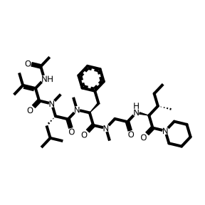 CC[C@H](C)[C@H](NC(=O)CN(C)C(=O)[C@H](Cc1ccccc1)N(C)C(=O)[C@H](CC(C)C)N(C)C(=O)C(NC(C)=O)=C(C)C)C(=O)N1CCCCC1